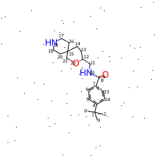 CC(C)(C)c1ccc(C(=O)NCC2CCC3(CCNCC3)CO2)cc1